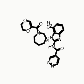 Cc1cccc2nc(NC(=O)c3ccnnc3)n([C@@H]3CCCCN(C(=O)C4=COCCO4)C3)c12